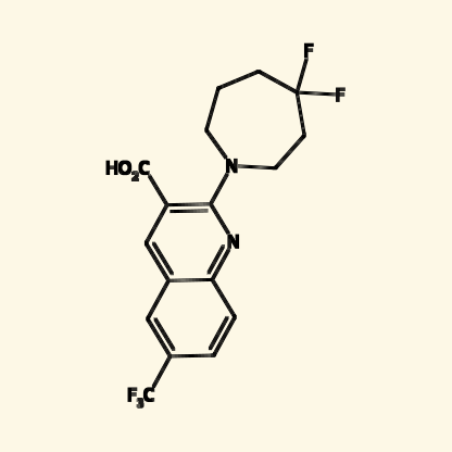 O=C(O)c1cc2cc(C(F)(F)F)ccc2nc1N1CCCC(F)(F)CC1